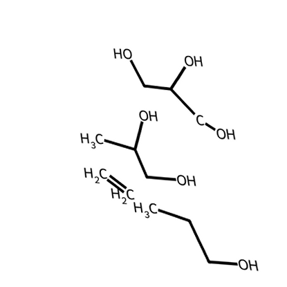 C=C.CC(O)CO.CCCO.OCC(O)CO